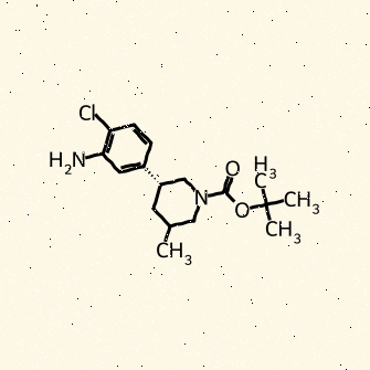 CC1C[C@H](c2ccc(Cl)c(N)c2)CN(C(=O)OC(C)(C)C)C1